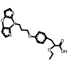 CCOC(Cc1ccc(OCCCN2c3sccc3Oc3ccsc32)cc1)C(=O)O